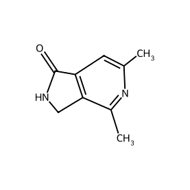 Cc1cc2c(c(C)n1)CNC2=O